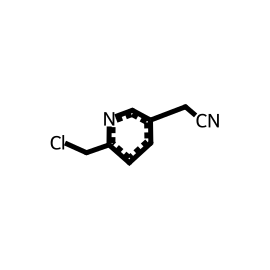 N#CCc1ccc(CCl)nc1